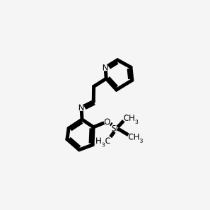 C[Si](C)(C)Oc1ccccc1N=CCc1ccccn1